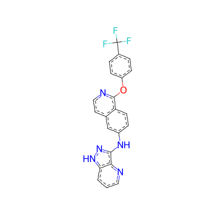 FC(F)(F)c1ccc(Oc2nccc3cc(Nc4n[nH]c5cccnc45)ccc23)cc1